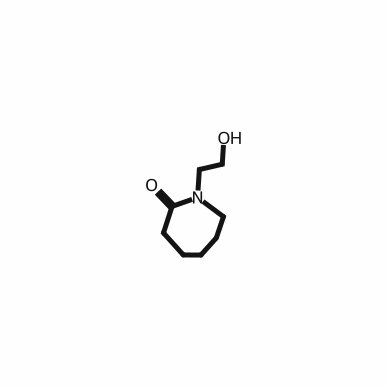 O=C1CCCCCN1CCO